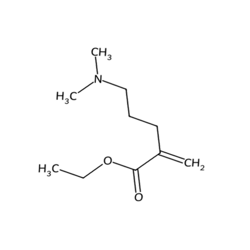 C=C(CCCN(C)C)C(=O)OCC